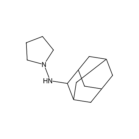 C1CCN(NC2C3CC4CC(C3)CC2C4)C1